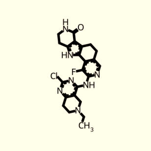 CCN1CCc2nc(Cl)nc(Nc3ncc4c(c3F)-c3[nH]c5c(c3CC4)C(=O)NCC5)c2C1